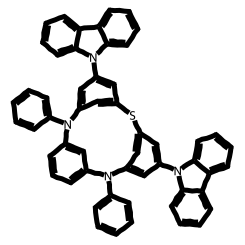 c1ccc(N2c3cccc(c3)N(c3ccccc3)c3cc(cc(-n4c5ccccc5c5ccccc54)c3)Sc3cc2cc(-n2c4ccccc4c4ccccc42)c3)cc1